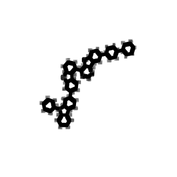 c1ccc(-c2ccc(-c3ccc4oc5c(-c6cccc7oc8cc(-c9ccc%10c%11ccccc%11n(-c%11ccccc%11)c%10c9)ccc8c67)ncnc5c4c3)cc2)cc1